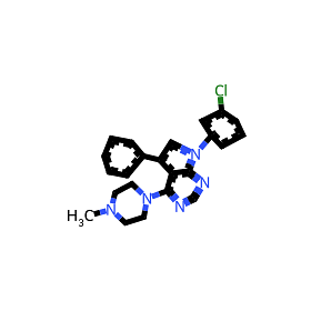 CN1CCN(c2ncnc3c2c(-c2ccccc2)cn3-c2cccc(Cl)c2)CC1